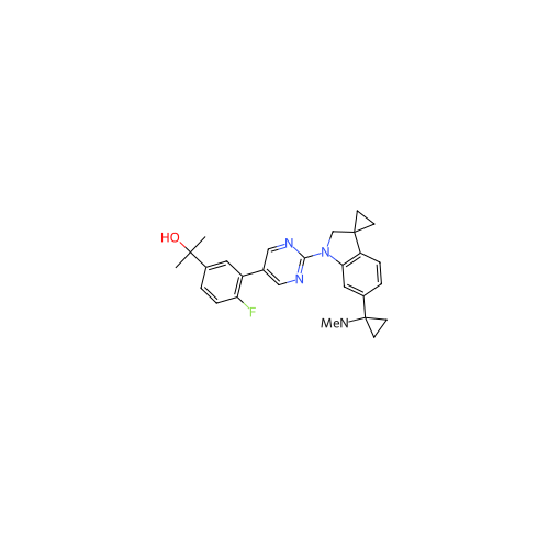 CNC1(c2ccc3c(c2)N(c2ncc(-c4cc(C(C)(C)O)ccc4F)cn2)CC32CC2)CC1